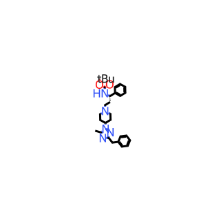 Cc1nc(Cc2ccccc2)nn1C1CCN(CC[C@H](NC(=O)OC(C)(C)C)c2ccccc2)CC1